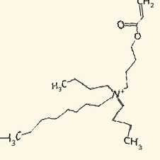 C=CC(=O)OCCCC[N+](CCCC)(CCCC)CCCCCCCC